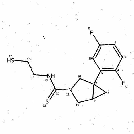 Fc1ccc(F)c(C23CC2CN(C(=S)NCCS)C3)c1